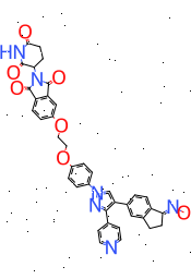 O=C1CCC(N2C(=O)c3ccc(OCCOc4ccc(-n5cc(-c6ccc7c(c6)CC/C7=N\O)c(-c6ccncc6)n5)cc4)cc3C2=O)C(=O)N1